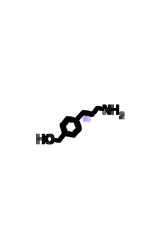 NC/C=C/c1ccc(CO)cc1